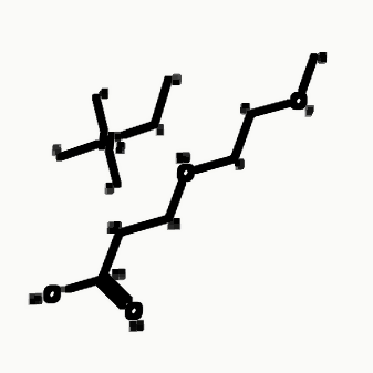 CC[N+](C)(C)C.COCCOCCC(=O)[O-]